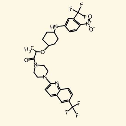 CC(OC1CCC(Nc2ccc([N+](=O)[O-])c(C(F)(F)F)c2)CC1)C(=O)N1CCN(c2ccc3cc(C(F)(F)F)ccc3n2)CC1